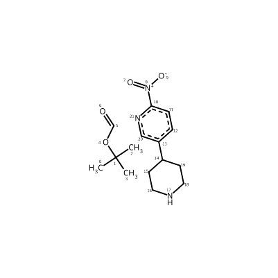 CC(C)(C)OC=O.O=[N+]([O-])c1ccc(C2CCNCC2)cn1